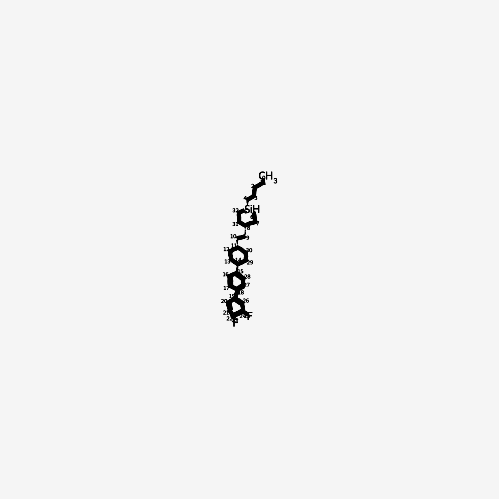 CCCCC[Si@H]1CC[C@H](CC[C@H]2CC[C@H](c3ccc(-c4ccc(F)c(F)c4)cc3)CC2)CC1